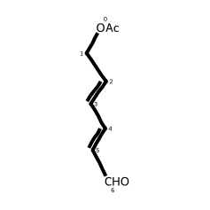 CC(=O)OC/C=C/C=C/C=O